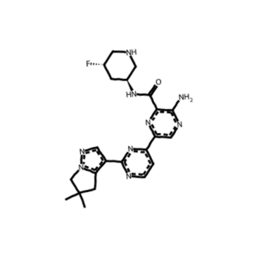 CC1(C)Cc2c(-c3nccc(-c4cnc(N)c(C(=O)N[C@@H]5CNC[C@@H](F)C5)n4)n3)cnn2C1